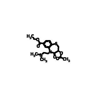 CCOC(=O)c1ccc2c(c1)N(CCN(C)C)C(=O)[C@H](OC(C)=O)CS2